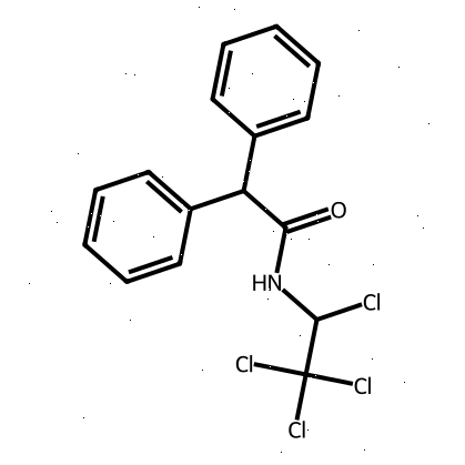 O=C(NC(Cl)C(Cl)(Cl)Cl)C(c1ccccc1)c1ccccc1